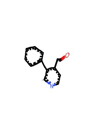 O=Cc1ccn[c]c1-c1ccccc1